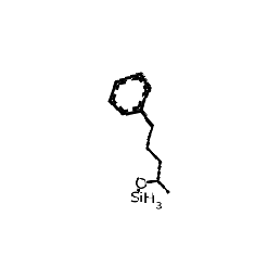 CC(CCCc1ccccc1)O[SiH3]